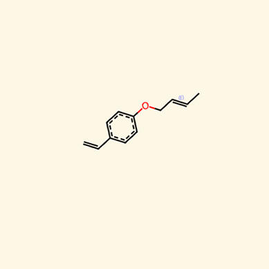 C=Cc1ccc(OC/C=C/C)cc1